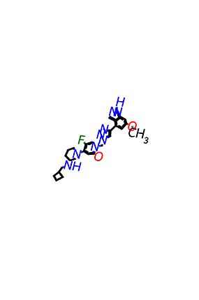 COc1cc(-c2cn(Cn3cc(F)c(N4CCCC(NCC5CCC5)C4)cc3=O)nn2)c2cn[nH]c2c1